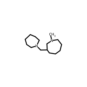 CN1CCCCCC(CN2CCCCCC2)C1